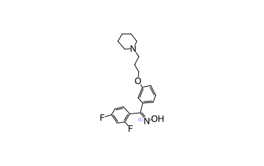 O/N=C(\c1cccc(OCCCN2CCCCC2)c1)c1ccc(F)cc1F